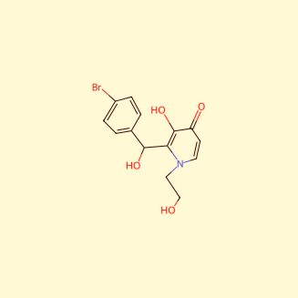 O=c1ccn(CCO)c(C(O)c2ccc(Br)cc2)c1O